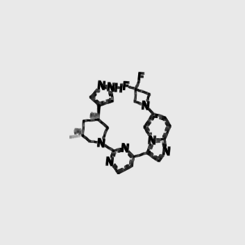 C[C@@H]1C[C@@H](c2cn[nH]c2)CN(c2nccc(-c3cnc4ccc(N5CC(F)(F)C5)cn34)n2)C1